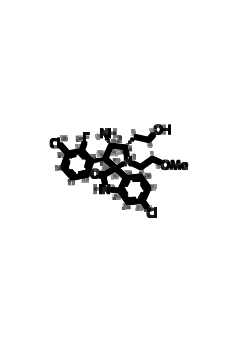 COCCN1[C@@H](CCO)[C@@H](N)[C@H](c2cccc(Cl)c2F)[C@]12C(=O)Nc1cc(Cl)ccc12